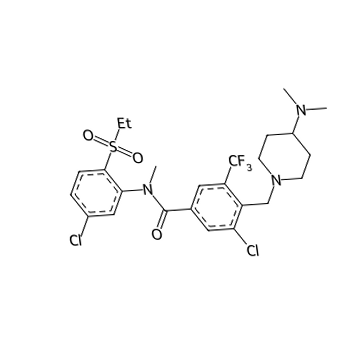 CCS(=O)(=O)c1ccc(Cl)cc1N(C)C(=O)c1cc(Cl)c(CN2CCC(N(C)C)CC2)c(C(F)(F)F)c1